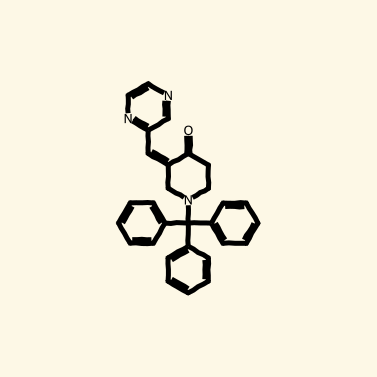 O=C1CCN(C(c2ccccc2)(c2ccccc2)c2ccccc2)CC1=Cc1cnccn1